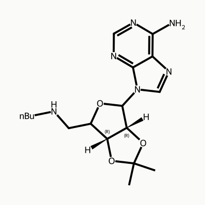 CCCCNCC1OC(n2cnc3c(N)ncnc32)[C@@H]2OC(C)(C)O[C@H]12